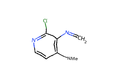 C=Nc1c(NC)ccnc1Cl